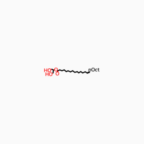 CCCCCCCC/C=C\CCCCCCCCCCCCCC(=O)OC(CO)CO